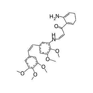 COc1cc(/C=C\c2cc(OC)c(OC)c(OC)c2)cc(N/C=C\C(=O)C2=CCCC=C2N)c1OC